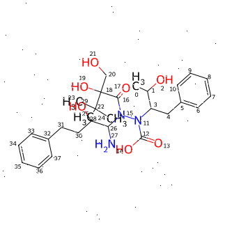 CC(O)C(Cc1ccccc1)N(C(=O)O)N(C(=O)C(O)(CO)C(C)(C)C)C(N)C(O)CCc1ccccc1